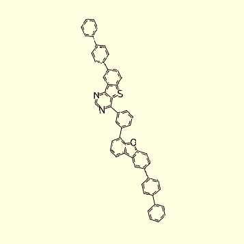 c1ccc(-c2ccc(-c3ccc4oc5c(-c6cccc(-c7ncnc8c7sc7ccc(-c9ccc(-c%10ccccc%10)cc9)cc78)c6)cccc5c4c3)cc2)cc1